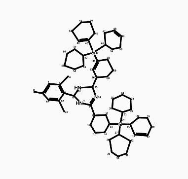 Cc1cc(C)c(C2NC(C3CCCC([Si](C4C=CCCC4)(C4CCCCC4)C4CCCCC4)C3)=NC(C3C=C([Si](C4=CCCCC4)(C4CC=CCC4)C4CCCCC4)CCC3)N2)c(C)c1